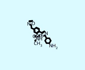 CCNS(=O)(=O)c1cc(Cc2ncco2)ccc1-c1cnc(C2CCC(N)CC2)s1